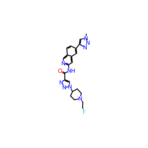 Cn1cc(-c2ccc3cnc(NC(=O)c4cn(C5CCN(CCF)CC5)nn4)cc3c2)nn1